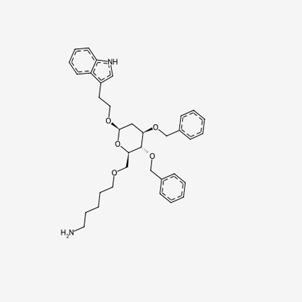 NCCCCCOC[C@H]1O[C@@H](OCCc2c[nH]c3ccccc23)C[C@@H](OCc2ccccc2)[C@@H]1OCc1ccccc1